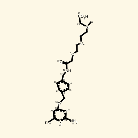 CN(CCOCCOCC(=O)NCc1ccc(COc2cc(Cl)nc(N)n2)cc1)CC(=O)O